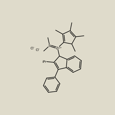 CC1=C(C)C(C)[C]([Zr+2]([CH]2C(C(C)C)=C(c3ccccc3)c3ccccc32)=[Si](C)C)=C1C.[Cl-].[Cl-]